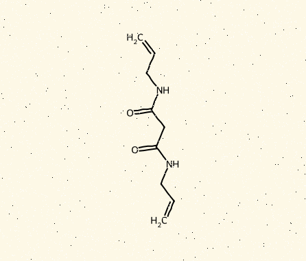 C=CCNC(=O)CC(=O)NCC=C